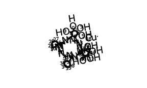 Oc1c(O)c(O)c2c(c1O)-c1nc-2nc2[nH]c(nc3nc(nc4[nH]c(n1)c1ccccc41)-c1ccccc1-3)c1c(O)c(O)c(O)c(O)c21.[Cu]